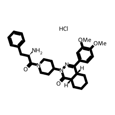 COc1ccc(C2=NN(C3CCN(C(=O)[C@@H](N)Cc4ccccc4)CC3)C(=O)[C@H]3CCCC[C@@H]23)cc1OC.Cl